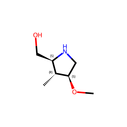 CO[C@@H]1CN[C@H](CO)[C@H]1C